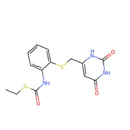 CCSC(=O)Nc1ccccc1SCc1cc(=O)[nH]c(=O)[nH]1